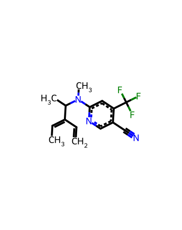 C=C/C(=C\C)C(C)N(C)c1cc(C(F)(F)F)c(C#N)cn1